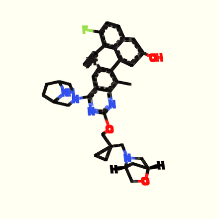 C#Cc1c(F)ccc2cc(O)cc(-c3c(C(C)C)cc4c(N5CC6CCC(C5)N6)nc(OCC5(CN6C[C@H]7C[C@@H]6CO7)CC5)nc4c3C)c12